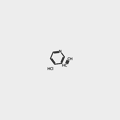 C#C.Cl.c1ccncc1